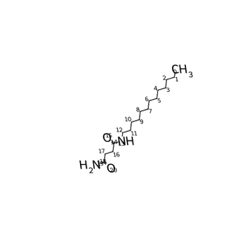 CCCCCCCCCCCCCNC(=O)CCC(N)=O